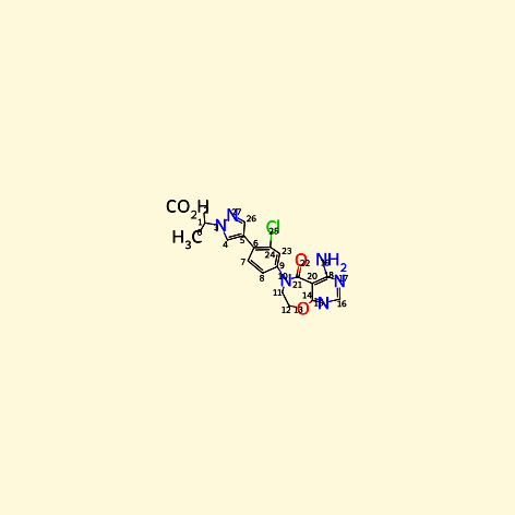 CC(C(=O)O)n1cc(-c2ccc(N3CCOc4ncnc(N)c4C3=O)cc2Cl)cn1